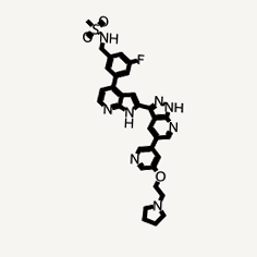 CS(=O)(=O)NCc1cc(F)cc(-c2ccnc3[nH]c(-c4n[nH]c5ncc(-c6cncc(OCCN7CCCC7)c6)cc45)cc23)c1